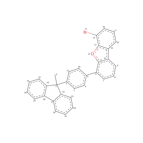 CC1(c2ccc(-c3cccc4c3oc3c(Br)cccc34)cc2)c2ccccc2-c2ccccc21